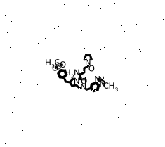 Cn1nnc2cc(CNCC3CC(Cc4ccc(S(C)(=O)=O)cc4)CN3C(=O)C(N)CCC(=O)N3CCCC3)ccc21